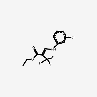 CCOC(=O)C(=CNc1ccnc(Cl)c1)C(F)(F)F